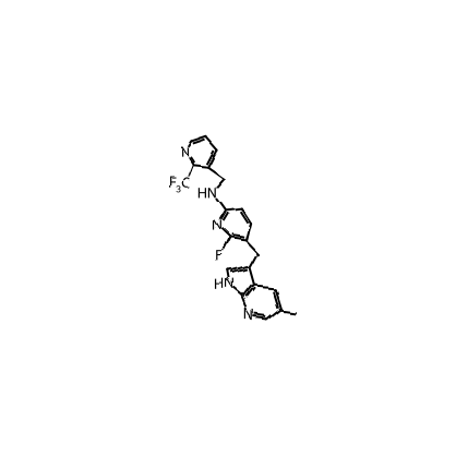 Cc1cnc2[nH]cc(Cc3ccc(NCc4cccnc4C(F)(F)F)nc3F)c2c1